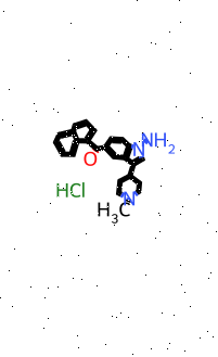 CN1CCC(c2cn(N)c3ccc(C(=O)c4cccc5ccccc45)cc23)CC1.Cl